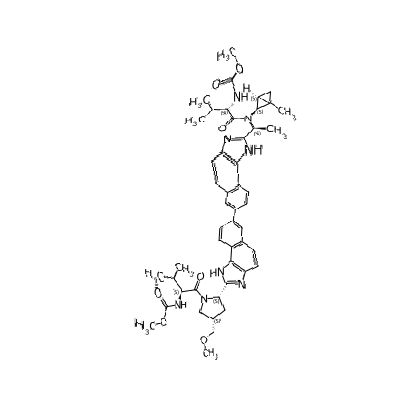 COC[C@H]1C[C@@H](c2nc3ccc4cc(-c5ccc6c(ccc7nc([C@H](C)N(C(=O)[C@@H](NC(=O)OC)C(C)C)[C@H]8[C@H]9CC98C)[nH]c76)c5)ccc4c3[nH]2)N(C(=O)[C@@H](NC(=O)OC)C(C)C)C1